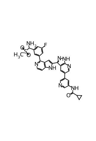 CS(=O)(=O)C(N)c1cc(F)cc(-c2nccc3[nH]c(-c4n[nH]c5ncc(-c6cncc(NC(=O)C7CC7)c6)cc45)cc23)c1